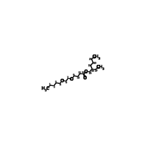 CCCCCOCCOCCCC(=O)OCC(CC)CCCC